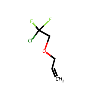 C=CCOCC(F)(F)Cl